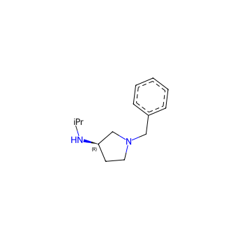 CC(C)N[C@@H]1CCN(Cc2ccccc2)C1